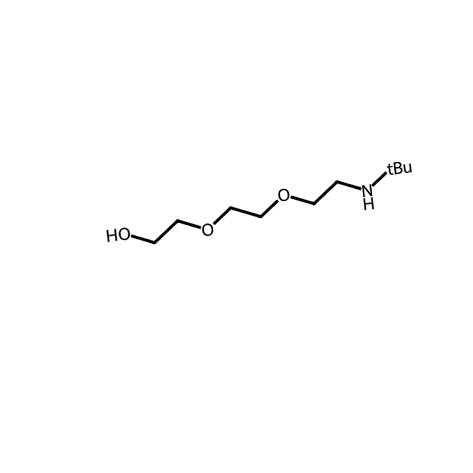 CC(C)(C)NCCOCCOCCO